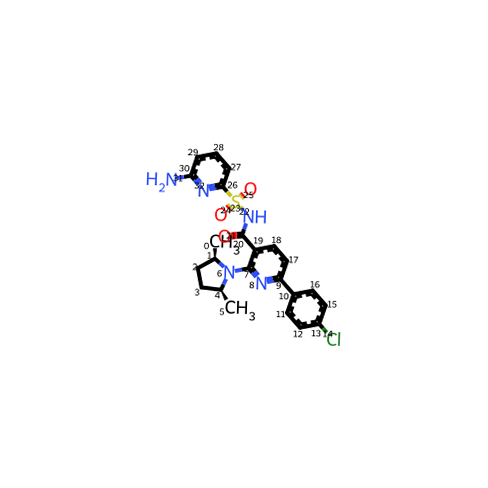 C[C@@H]1CC[C@H](C)N1c1nc(-c2ccc(Cl)cc2)ccc1C(=O)NS(=O)(=O)c1cccc(N)n1